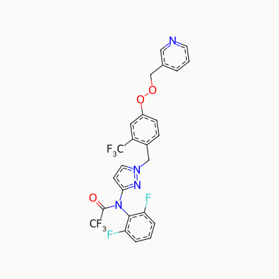 O=C(N(c1ccn(Cc2ccc(OOCc3cccnc3)cc2C(F)(F)F)n1)c1c(F)cccc1F)C(F)(F)F